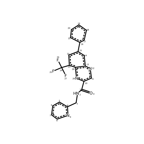 O=C(NCc1ccccn1)c1cnc2cc(-c3ccccc3)cc(C(F)(F)F)c2n1